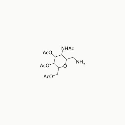 CC(=O)NC1C(CN)OC(COC(C)=O)C(OC(C)=O)C1OC(C)=O